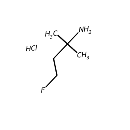 CC(C)(N)CCF.Cl